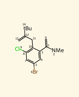 C=C(NC)c1cc(Br)cc(Cl)c1CC(=C)C(C)(C)C